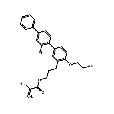 C=C(C)C(=O)OCCCc1cc(-c2ccc(-c3ccccc3)cc2CC)ccc1OCCO